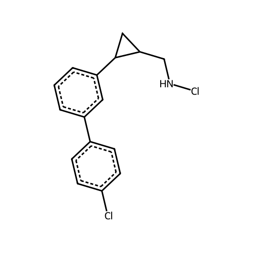 ClNCC1CC1c1cccc(-c2ccc(Cl)cc2)c1